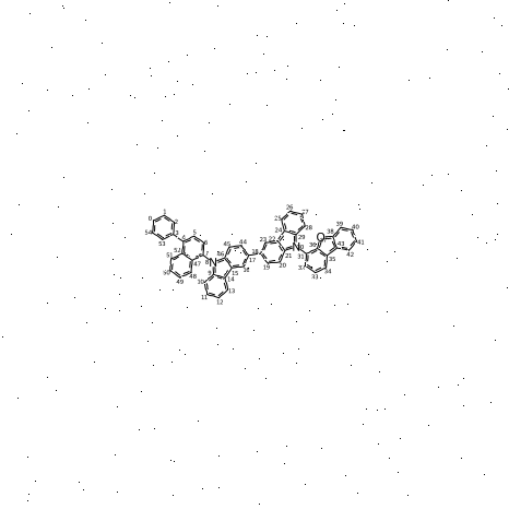 c1ccc(-c2ccc(-n3c4ccccc4c4cc(-c5ccc6c(c5)c5ccccc5n6-c5cccc6c5oc5ccccc56)ccc43)c3ccccc23)cc1